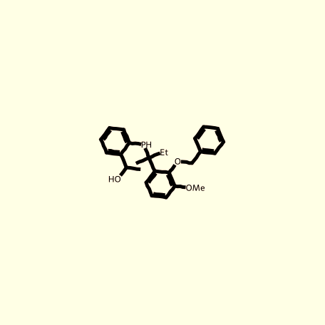 CCC(C)(Pc1ccccc1C(C)O)c1cccc(OC)c1OCc1ccccc1